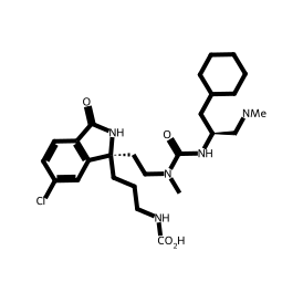 CNC[C@H](CC1CCCCC1)NC(=O)N(C)CC[C@@]1(CCCNC(=O)O)NC(=O)c2ccc(Cl)cc21